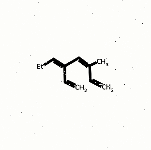 C=CC(C)=CC(C=C)=CCC